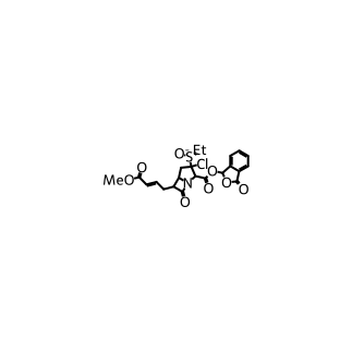 CC[S+]([O-])C1(Cl)CC2C(CC=CC(=O)OC)C(=O)N2C1C(=O)OC1OC(=O)c2ccccc21